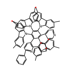 Cc1ccc2c(c1)c1cc(C)ccc1n2-c1c(-c2ccncc2)c(-n2c3ccc(C)cc3c3cc(C)ccc32)c(-n2c3ccc(C)cc3c3cc(C)ccc32)c(-n2c3ccc(C)cc3c3cc(C)ccc32)c1-c1ccc(-c2ccccc2)nc1-c1ccccc1